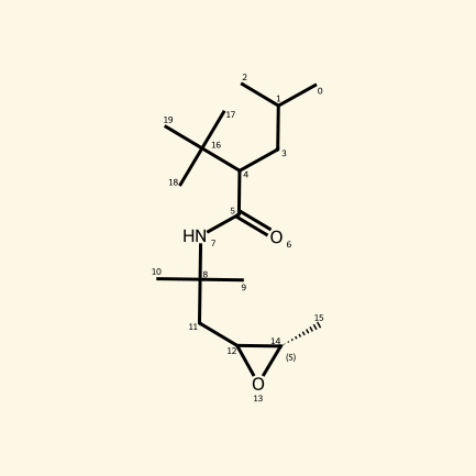 CC(C)CC(C(=O)NC(C)(C)CC1O[C@H]1C)C(C)(C)C